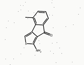 Cc1cccc2c1-c1csc(N)c1C2=O